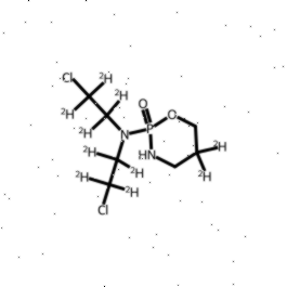 [2H]C1([2H])CNP(=O)(N(C([2H])([2H])C([2H])([2H])Cl)C([2H])([2H])C([2H])([2H])Cl)OC1